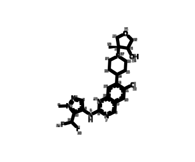 Cn1ncc(Nc2ncc3cc(Cl)c(C4CCN([C@]5(C)COCC5O)CC4)cc3n2)c1C(F)F